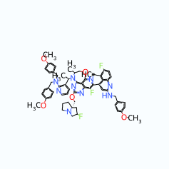 C#Cc1c(F)ccc2nc(NCc3ccc(OC)cc3)cc(-c3nc4c5c(nc(OC[C@@]67CCCN6C[C@H](F)C7)nc5c3F)N([C@H](C)c3cccnc3N(Cc3ccc(OC)cc3)Cc3ccc(OC)cc3)[C@@H](C)CO4)c12